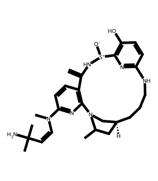 C=C1N[S+]([O-])c2nc(ccc2O)NCCC[C@H]2CC(C)N(C2)c2nc(N(C)/C=C\C(C)(C)N)ccc21